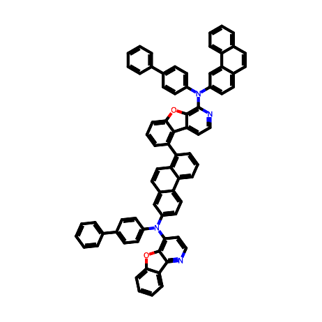 c1ccc(-c2ccc(N(c3ccc4ccc5ccccc5c4c3)c3nccc4c3oc3cccc(-c5cccc6c5ccc5cc(N(c7ccc(-c8ccccc8)cc7)c7ccnc8c7oc7ccccc78)ccc56)c34)cc2)cc1